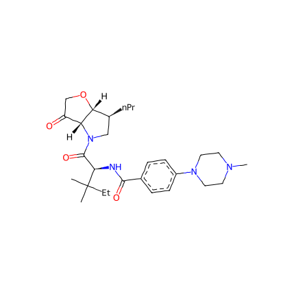 CCC[C@H]1CN(C(=O)[C@@H](NC(=O)c2ccc(N3CCN(C)CC3)cc2)C(C)(C)CC)[C@@H]2C(=O)CO[C@H]12